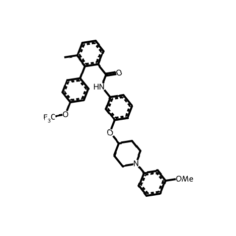 COc1cccc(N2CCC(Oc3cccc(NC(=O)c4cccc(C)c4-c4ccc(OC(F)(F)F)cc4)c3)CC2)c1